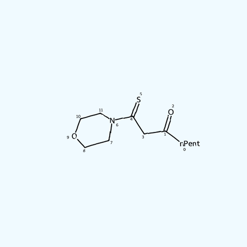 CCCCCC(=O)CC(=S)N1CCOCC1